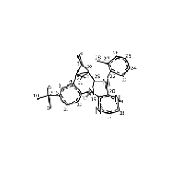 C=C1C2(C)c3cc(C(C)(C)C)ccc3N3c4nccnc4N(c4ccccc4C)C3C12C